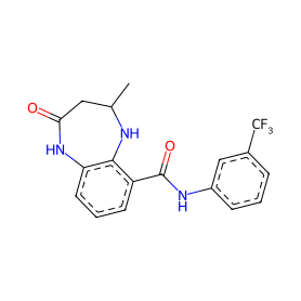 CC1CC(=O)Nc2cccc(C(=O)Nc3cccc(C(F)(F)F)c3)c2N1